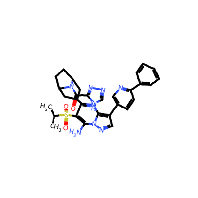 CC(C)S(=O)(=O)c1c(C2CC3CCC(C2)N3C(=O)c2nnc[nH]2)nc2c(-c3ccc(-c4ccccc4)nc3)cnn2c1N